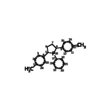 Cc1ccc(C2CCC(c3ccc(C)cc3)P2c2ccccc2)cc1